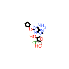 Nc1nc(OC2CCCC2)nc2c1ncn2[C@@H]1O[C@H](CO)[C@H](Cl)[C@H]1O